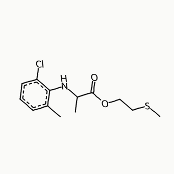 CSCCOC(=O)C(C)Nc1c(C)cccc1Cl